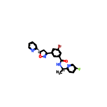 C[C@@H](NC(=O)c1cc(Br)cc(C2=NO[C@H](c3ccccn3)C2)c1)c1ccc(F)cn1